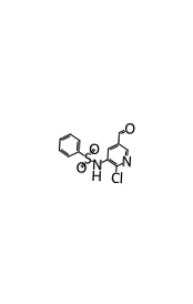 O=Cc1cnc(Cl)c(NS(=O)(=O)c2ccccc2)c1